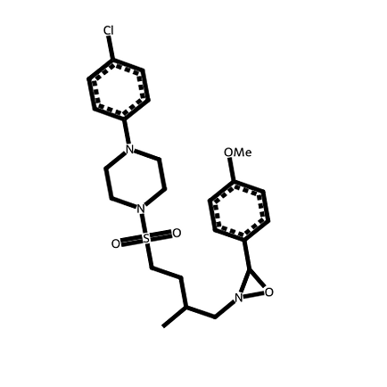 COc1ccc(C2ON2CC(C)CCS(=O)(=O)N2CCN(c3ccc(Cl)cc3)CC2)cc1